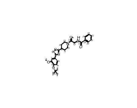 COc1cc(-c2noc(C3CCN(C(=O)CNC(=O)c4ccccc4)CC3)n2)ccc1OC(F)(F)F